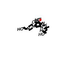 CC(C)(O)CC(C)(C)Sc1nc2cc(Cl)c(N3CCN(CCO)CC3)cc2[nH]1.Cl.Cl